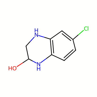 OC1CNc2cc(Cl)ccc2N1